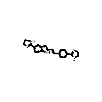 C(=C\c1cc2cc(C3=NCCN3)ccc2[nH]1)/c1ccc(C2=NCCN2)cc1